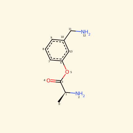 C[C@H](N)C(=O)Oc1cccc(CN)c1